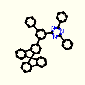 c1ccc(-c2cc(-c3ccc4c(c3)-c3ccccc3C43c4ccccc4-c4ccccc43)cc(-c3nc(-c4ccccc4)nc(-c4ccccc4)n3)c2)cc1